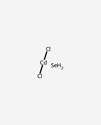 [Cl][Cd][Cl].[SeH2]